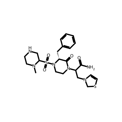 CN1CCNCC1S(=O)(=O)N1CCN(C(CN2C=CSC2)C(N)=O)C(=O)[C@H]1Cc1ccccc1